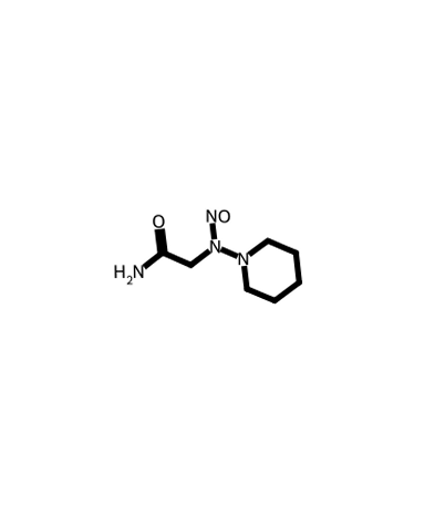 NC(=O)CN(N=O)N1CCCCC1